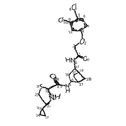 O=C(COc1ccc(Cl)c(Cl)c1)NC1CC(NC(=O)C2NC(C3CC3)CS2)C2CC1C2